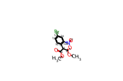 COC(=O)C(C(=O)OC)c1ccc(Br)cc1N=O